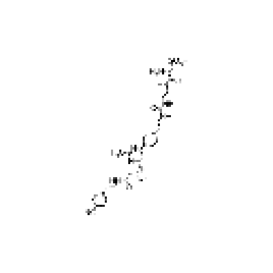 N#Cc1ccc(CCNC(=O)C[C@@H]2CCCN2c2cc(N3CCC(CCNC(=O)NCCNC(=O)[C@@H](N)CS(=O)(=O)O)CC3)nc(C(F)(F)F)n2)cc1